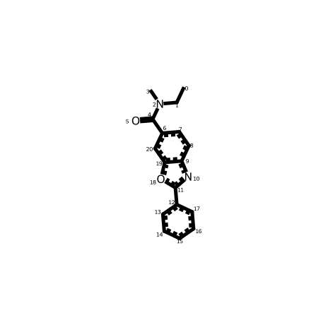 CCN(C)C(=O)c1ccc2nc(-c3ccccc3)oc2c1